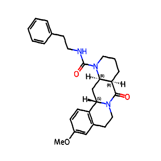 COc1ccc2c(c1)CCN1C(=O)[C@@H]3CCCN(C(=O)NCCc4ccccc4)[C@@H]3C[C@@H]21